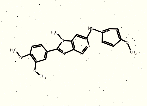 COc1ccc(Nc2cc3c(cn2)nc(-c2ccc(OC)c(OC)c2)n3C)cc1